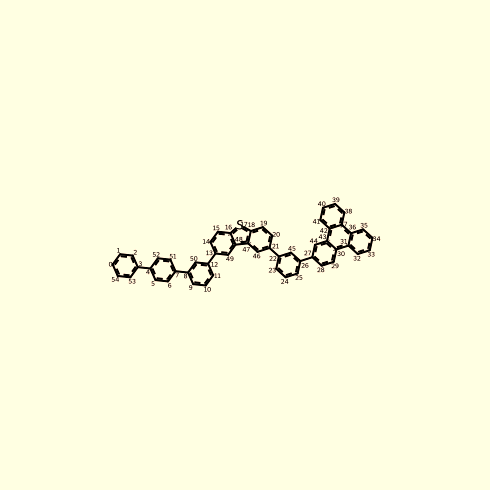 c1ccc(-c2ccc(-c3cccc(-c4ccc5sc6ccc(-c7cccc(-c8ccc9c%10ccccc%10c%10ccccc%10c9c8)c7)cc6c5c4)c3)cc2)cc1